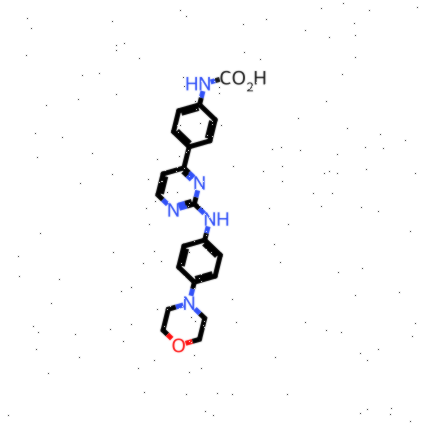 O=C(O)Nc1ccc(-c2ccnc(Nc3ccc(N4CCOCC4)cc3)n2)cc1